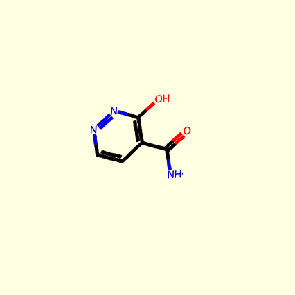 [NH]C(=O)c1ccnnc1O